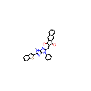 Cn1c(-c2cc3ccccc3s2)nc2c1nc(C=C1C(=O)c3cc4ccccc4cc3C1=O)n2-c1ccccc1